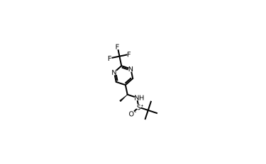 C[C@H](N[S+]([O-])C(C)(C)C)c1cnc(C(F)(F)F)nc1